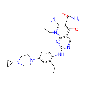 CCc1cc(N2CCN(C3CC3)CC2)ccc1Nc1ncc2c(=O)c(C(N)=O)c(N)n(CC)c2n1